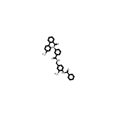 Cc1cc(CNC(=O)c2cccc(NC(=O)c3ccccc3-c3ccc(C(F)(F)F)cc3)c2)ccc1NC(=O)c1ccccc1